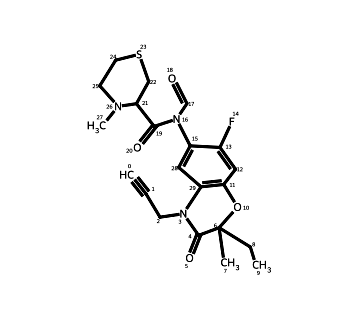 C#CCN1C(=O)C(C)(CC)Oc2cc(F)c(N(C=O)C(=O)C3CSCCN3C)cc21